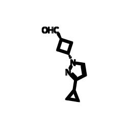 O=C[C@H]1C[C@H](n2ccc(C3CC3)n2)C1